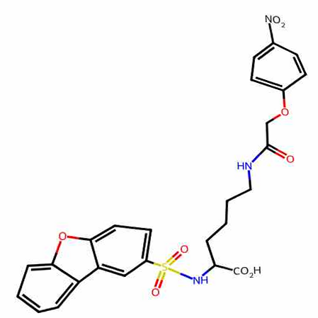 O=C(COc1ccc([N+](=O)[O-])cc1)NCCCCC(NS(=O)(=O)c1ccc2oc3ccccc3c2c1)C(=O)O